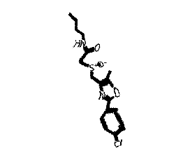 CCCCNC(=O)C[S+]([O-])Cc1nc(-c2ccc(Cl)cc2)oc1C